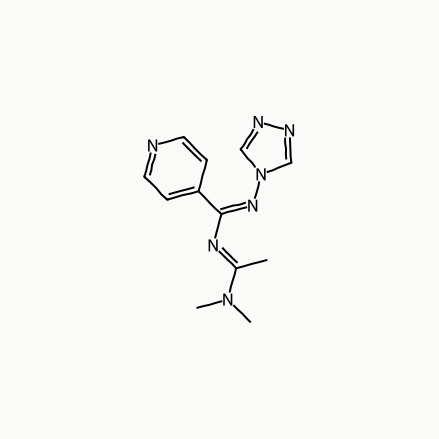 CC(=NC(=Nn1cnnc1)c1ccncc1)N(C)C